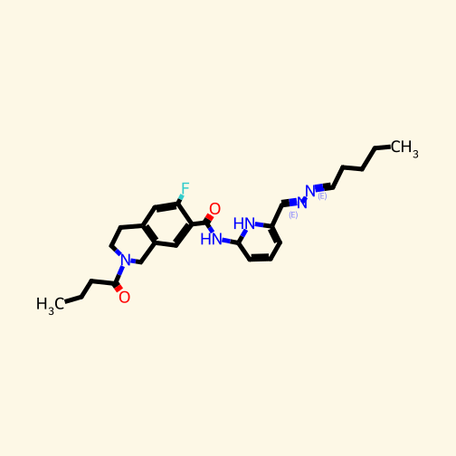 CCCC/C=N/N=C/C1=CC=CC(NC(=O)c2cc3c(cc2F)CCN(C(=O)CCC)C3)N1